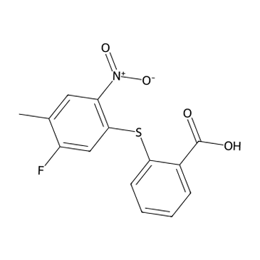 Cc1cc([N+](=O)[O-])c(Sc2ccccc2C(=O)O)cc1F